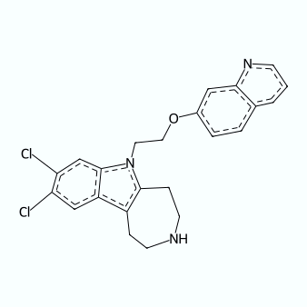 Clc1cc2c3c(n(CCOc4ccc5cccnc5c4)c2cc1Cl)CCNCC3